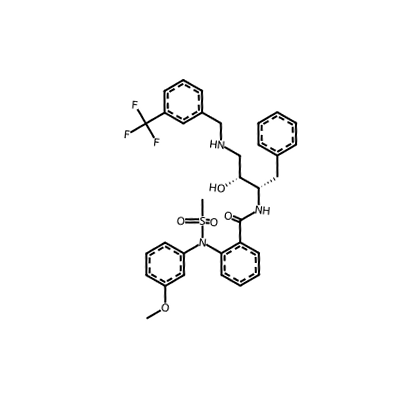 COc1cccc(N(c2ccccc2C(=O)N[C@@H](Cc2ccccc2)[C@H](O)CNCc2cccc(C(F)(F)F)c2)S(C)(=O)=O)c1